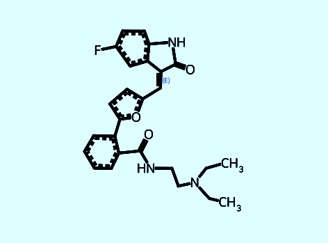 CCN(CC)CCNC(=O)c1ccccc1-c1ccc(/C=C2/C(=O)Nc3ccc(F)cc32)o1